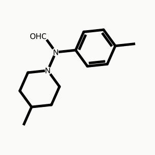 Cc1ccc(N(C=O)N2CCC(C)CC2)cc1